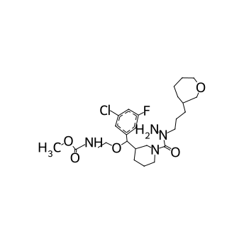 COC(=O)NCCOC(c1cc(F)cc(Cl)c1)C1CCCN(C(=O)N(N)CCCC2CCCCOC2)C1